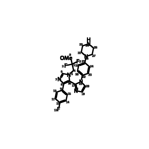 COC(F)(F)Cn1cnc(-c2ccc(F)cc2)c1-c1nccn1-c1ccc(N2CCNCC2)cc1